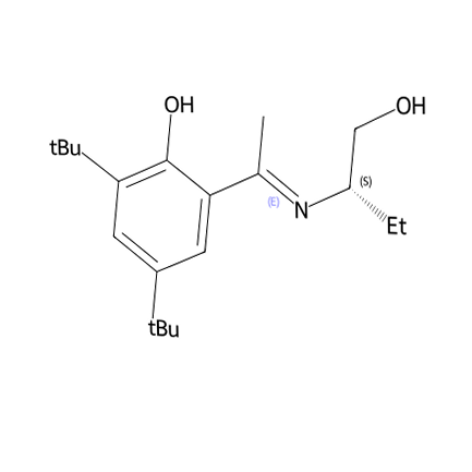 CC[C@@H](CO)/N=C(\C)c1cc(C(C)(C)C)cc(C(C)(C)C)c1O